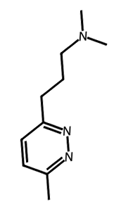 Cc1ccc(CCCN(C)C)nn1